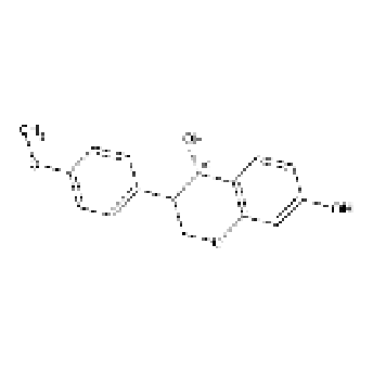 COc1ccc(C2COc3cc(O)ccc3[C@H]2O)cc1